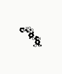 COc1cc2nccc(Oc3cc(C)c(N(CCN4CCCCC4)C(=O)O)cc3C)c2cc1OC